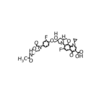 CC(=O)NC[C@H]1CN(c2ccc(OC[C@]3(O)C[C@H]4COc5c(c(F)cc6c(=O)c(C(=O)O)cn(C7CC7)c56)N4C3)c(F)c2)C(=O)O1